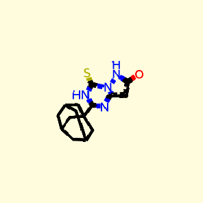 O=c1cc2nc(C34CC5CC(CC(C5)C3)C4)[nH]c(=S)n2[nH]1